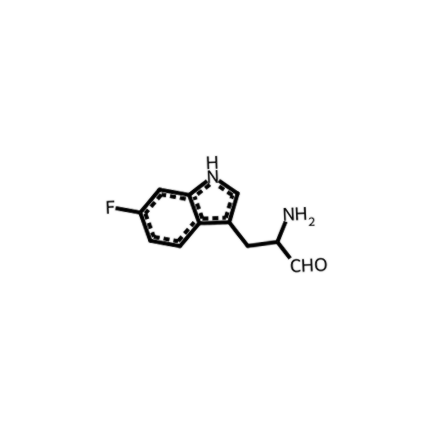 NC(C=O)Cc1c[nH]c2cc(F)ccc12